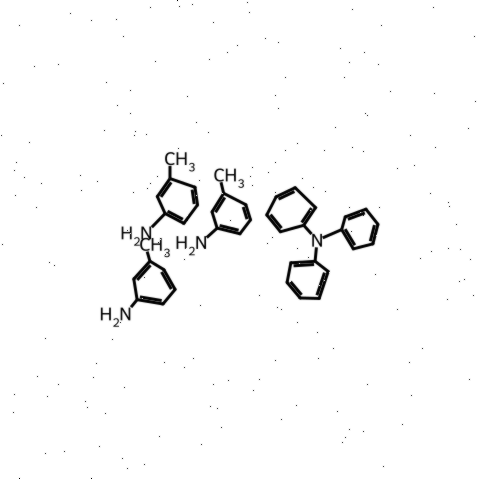 Cc1cccc(N)c1.Cc1cccc(N)c1.Cc1cccc(N)c1.c1ccc(N(c2ccccc2)c2ccccc2)cc1